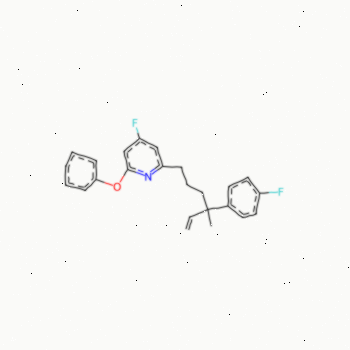 C=CC(C)(CCCc1cc(F)cc(Oc2ccccc2)n1)c1ccc(F)cc1